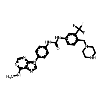 CNc1ncnc2c1ncn2-c1ccc(NC(=O)Nc2ccc(CN3CCNCC3)c(C(F)(F)F)c2)cc1